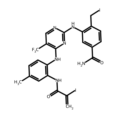 C=C(I)C(=O)Nc1cc(C)ccc1Nc1nc(Nc2cc(C(N)=O)ccc2CI)ncc1C(F)(F)F